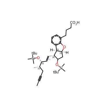 CC#CC[C@H](C)[C@@H](/C=C/[C@H]1C(O[Si](C)(C)C(C)(C)C)C[C@@H]2Oc3c(CCCC(=O)O)cccc3[C@@H]21)O[Si](C)(C)C(C)(C)C